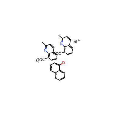 Cc1ccc2cccc(C(=O)[O-])c2n1.Cc1ccc2cccc(C(=O)[O-])c2n1.[Al+3].[O-]c1cccc2ccccc12